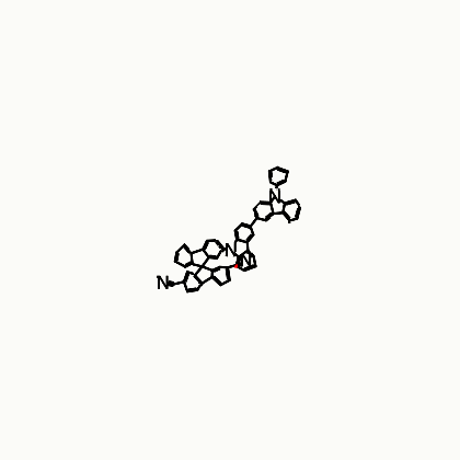 N#Cc1ccc2c(c1)C1(c3ccccc3-c3ccc(-n4c5ccccc5c5cc(-c6ccc7c(c6)c6ccccc6n7-c6ccccc6)ccc54)cc31)c1cc(C#N)ccc1-2